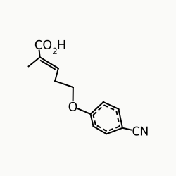 CC(=CCCOc1ccc(C#N)cc1)C(=O)O